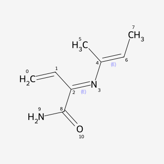 C=C/C(=N\C(C)=C\C)C(N)=O